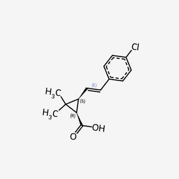 CC1(C)[C@H](C(=O)O)[C@@H]1/C=C/c1ccc(Cl)cc1